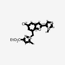 CCOC(=O)c1cc(C)n(Cc2cc(Cl)cc3cc(-c4cncn4C)oc23)n1